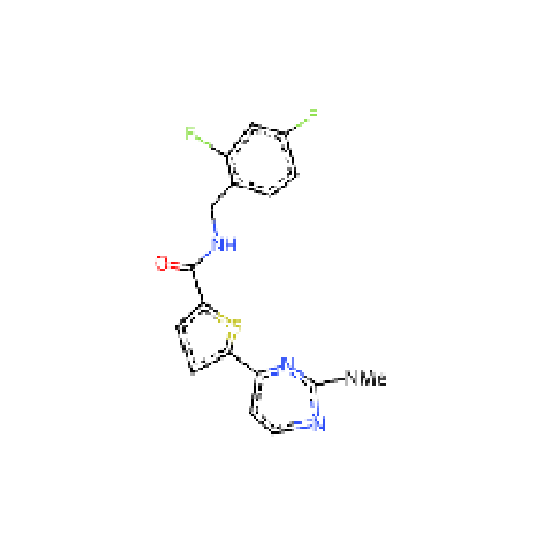 CNc1nccc(-c2ccc(C(=O)NCc3ccc(F)cc3F)s2)n1